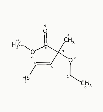 CCOC(C)(C=CS)C(=O)OC